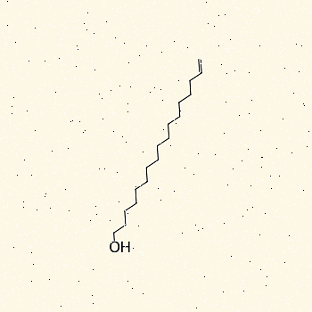 C=CCCCCCCCCCCCCCCCO